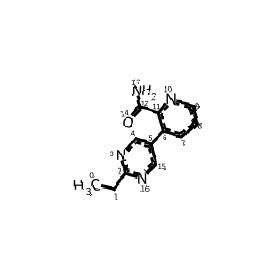 CCc1ncc(-c2cccnc2C(N)=O)cn1